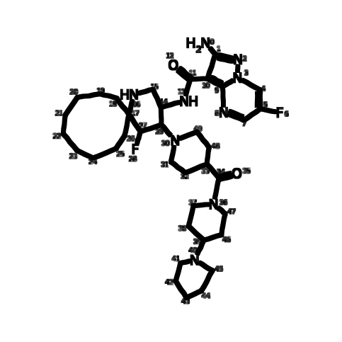 Nc1nn2cc(F)cnc2c1C(=O)NC1CNC2(CCCCCCCCC2)C(F)C1N1CCC(C(=O)N2CCC(N3CCCCC3)CC2)CC1